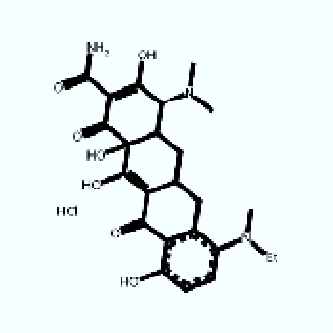 CCN(C)c1ccc(O)c2c1CC1CC3[C@H](N(C)C)C(O)=C(C(N)=O)C(=O)C3(O)C(O)=C1C2=O.Cl